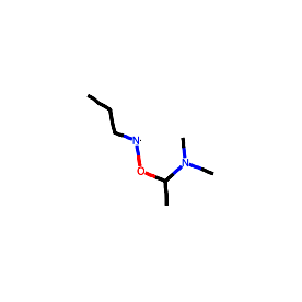 CCC[N]OC(C)N(C)C